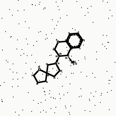 N[C@H]1c2ccccc2OC[C@@H]1N1CCC2(CCCO2)C1